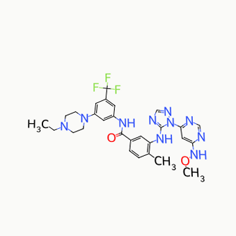 CCN1CCN(c2cc(NC(=O)c3ccc(C)c(Nc4ncnn4-c4cc(NOC)ncn4)c3)cc(C(F)(F)F)c2)CC1